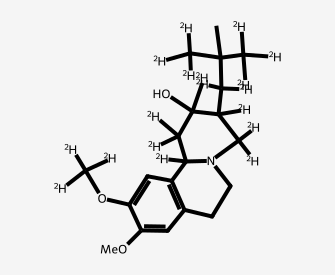 [2H]C([2H])([2H])Oc1cc2c(cc1OC)CCN1C([2H])([2H])C([2H])(C([2H])([2H])C(C)(C([2H])([2H])[2H])C([2H])([2H])[2H])C([2H])(O)C([2H])([2H])C21[2H]